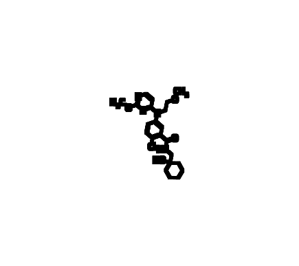 COCCN(c1ccc(Cl)c(C(=O)NCC2(O)CCCCC2)c1)c1ccnc(OC)n1